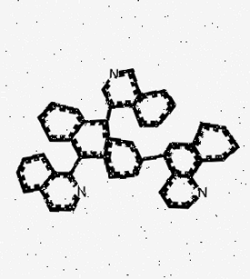 c1ccc2c(-c3c4ccccc4c(-c4nccc5ccccc45)c4ccc(-c5cc6ccccc6c6ncccc56)cc34)cncc2c1